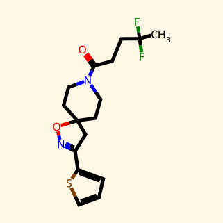 CC(F)(F)CCC(=O)N1CCC2(CC1)CC(c1cccs1)=NO2